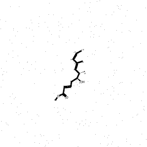 COC(=O)/C=C/C[C@H](O)[C@@H](C)/C=C(C)/C=C\I